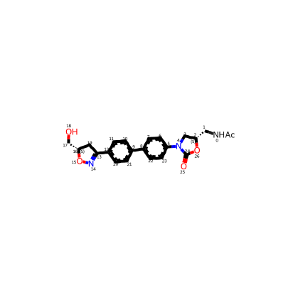 CC(=O)NC[C@H]1CN(c2ccc(-c3ccc(C4=NO[C@H](CO)C4)cc3)cc2)C(=O)O1